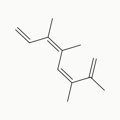 C=C/C(C)=C(C)\C=C(\C)C(=C)C